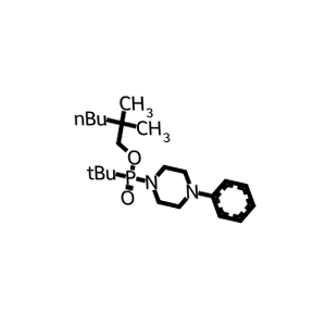 CCCCC(C)(C)COP(=O)(N1CCN(c2ccccc2)CC1)C(C)(C)C